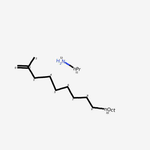 C=C(C)CCCCCCCCCCCCCCC.CCCN